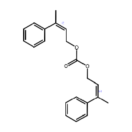 C/C(=C/COC(=O)OC/C=C(/C)c1ccccc1)c1ccccc1